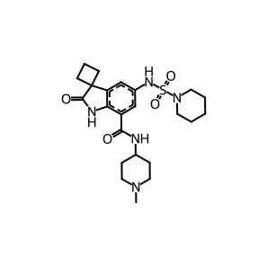 CN1CCC(NC(=O)c2cc(NS(=O)(=O)N3CCCCC3)cc3c2NC(=O)C32CCC2)CC1